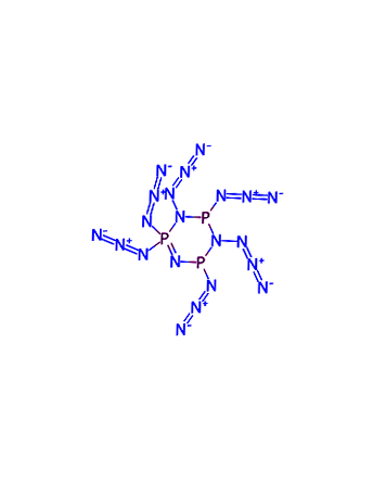 [N-]=[N+]=NN1P(N=[N+]=[N-])N=P(N=[N+]=[N-])(N=[N+]=[N-])N(N=[N+]=[N-])P1N=[N+]=[N-]